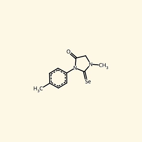 Cc1ccc(N2C(=O)CN(C)C2=[Se])cc1